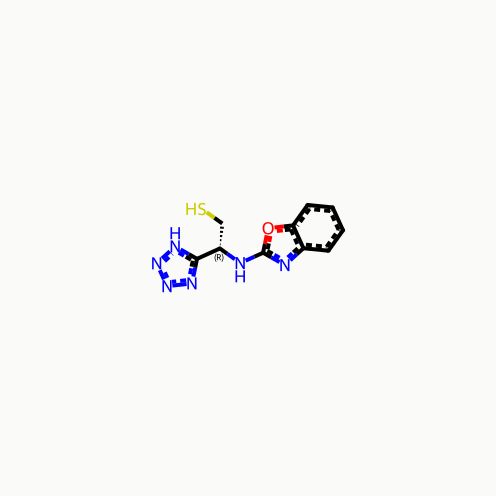 SC[C@H](Nc1nc2ccccc2o1)c1nnn[nH]1